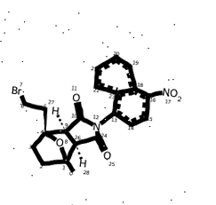 CC12CC[C@@](CCBr)(O1)[C@H]1C(=O)N(c3ccc([N+](=O)[O-])c4ccccc34)C(=O)[C@H]12